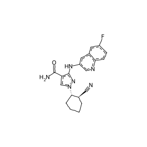 N#C[C@H]1CCCC[C@@H]1n1cc(C(N)=O)c(Nc2cnc3ccc(F)cc3c2)n1